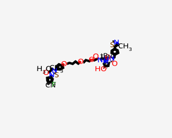 Cc1ncsc1-c1ccc(CNC(=O)[C@@H]2C[C@@H](O)CN2C(=O)[C@@H](NC(=O)COCCCOCCCCCOc2ccc(N3C(=S)N(c4ccc(C#N)c(F)c4)C(=O)C3(C)C)cc2)C(C)(C)C)cc1